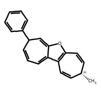 C[C@H]1C=Cc2oc3c(c2C=C1)=CC=CC(c1ccccc1)C=3